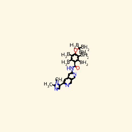 Bc1c(B)c(C(=O)Nc2cc3cc(-c4cnc(C)n4C)ncc3cn2)c(B)c(B)c1OC(B)(B)B